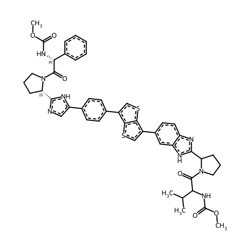 COC(=O)NC(C(=O)N1CCCC1c1nc2ccc(-c3csc4c(-c5ccc(-c6cnc([C@@H]7CCCN7C(=O)[C@H](NC(=O)OC)c7ccccc7)[nH]6)cc5)csc34)cc2[nH]1)C(C)C